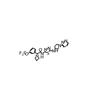 O=C(Nc1nnc(NC2CCN(c3cccnn3)C2)s1)C(c1cccc(OC(F)(F)F)c1)N1CCC1